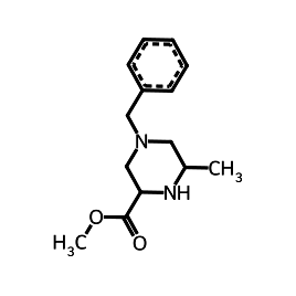 COC(=O)C1CN(Cc2ccccc2)CC(C)N1